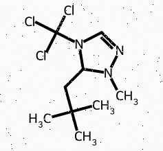 CN1N=CN(C(Cl)(Cl)Cl)C1CC(C)(C)C